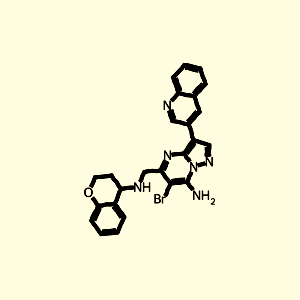 Nc1c(Br)c(CNC2CCOc3ccccc32)nc2c(-c3cnc4ccccc4c3)cnn12